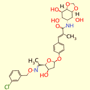 C/C(=C\c1ccc(O[C@H]2C[C@@H](O)[C@@H](/C(C)=N/OCc3cccc(Cl)c3)O2)cc1)C(=O)N[C@@H]1[C@H](O)[C@@H](O)[C@H]2OCO[C@H]2[C@@H]1O